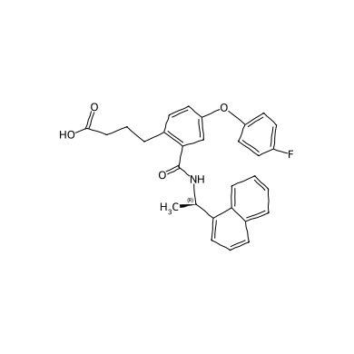 C[C@@H](NC(=O)c1cc(Oc2ccc(F)cc2)ccc1CCCC(=O)O)c1cccc2ccccc12